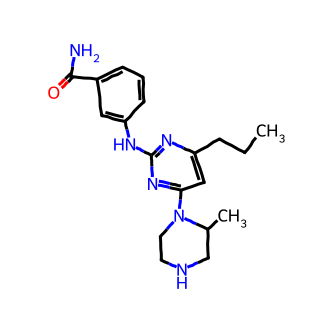 CCCc1cc(N2CCNCC2C)nc(Nc2cccc(C(N)=O)c2)n1